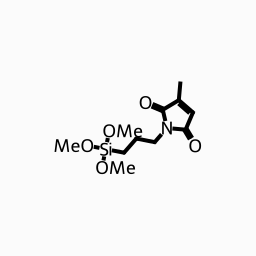 CO[Si](CCCN1C(=O)C=C(C)C1=O)(OC)OC